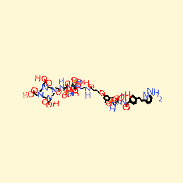 Cc1cc(OCCCC(=O)NCCNC(=O)[C@H](CS(=O)(=O)O)NC(=O)[C@H](CS(=O)(=O)O)NC(=O)CN2CCN(CC(=O)O)CCN(CC(=O)O)CCN(CC(=O)O)CC2)cc(C)c1S(=O)(=O)N[C@@H](CNC(=O)c1ccc(CCc2cccc(N)n2)cc1)C(=O)O